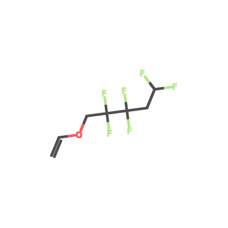 C=COCC(F)(F)C(F)(F)CC(F)F